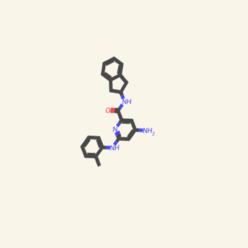 Cc1ccccc1Nc1cc(N)cc(C(=O)NC2Cc3ccccc3C2)n1